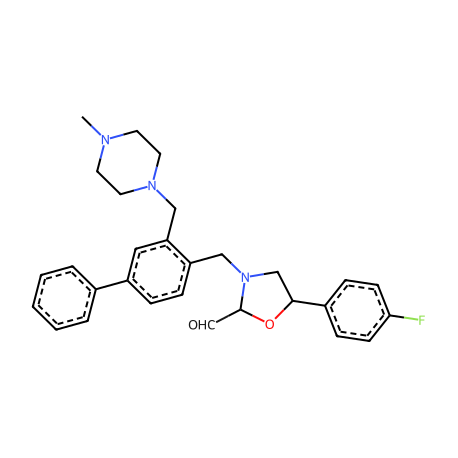 CN1CCN(Cc2cc(-c3ccccc3)ccc2CN2CC(c3ccc(F)cc3)OC2C=O)CC1